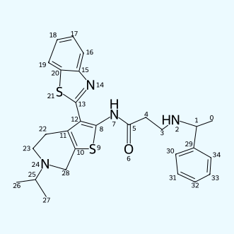 CC(NCCC(=O)Nc1sc2c(c1-c1nc3ccccc3s1)CCN(C(C)C)C2)c1ccccc1